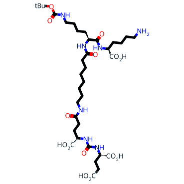 CC(C)(C)OC(=O)NCCCC[C@H](NC(=O)CCCCCCCNC(=O)CC[C@H](NC(=O)N[C@@H](CCC(=O)O)C(=O)O)C(=O)O)C(=O)N[C@@H](CCCCN)C(=O)O